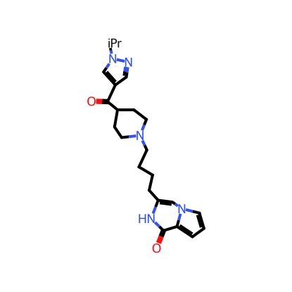 CC(C)n1cc(C(=O)C2CCN(CCCCc3cn4cccc4c(=O)[nH]3)CC2)cn1